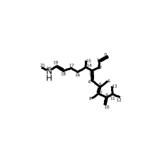 C=CC/C(=C\C(C)=C(/C)C(=C)C(C)C)C(C)CC/C=C/NC